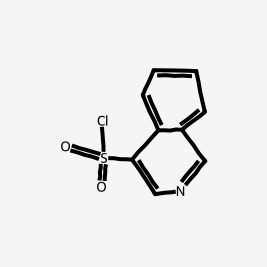 O=S(=O)(Cl)c1cncc2ccccc12